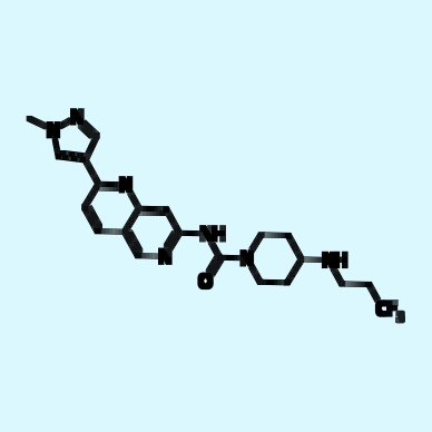 Cn1cc(-c2ccc3cnc(NC(=O)N4CCC(NCCC(F)(F)F)CC4)cc3n2)cn1